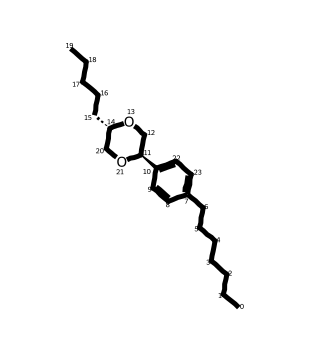 CCCCCCCc1ccc([C@@H]2CO[C@@H](CCCCC)CO2)cc1